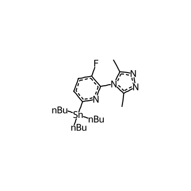 CCC[CH2][Sn]([CH2]CCC)([CH2]CCC)[c]1ccc(F)c(-n2c(C)nnc2C)n1